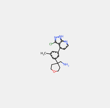 Cc1cc(-c2ccnc3[nH]nc(Cl)c23)cc(C2(CN)CCOCC2)c1